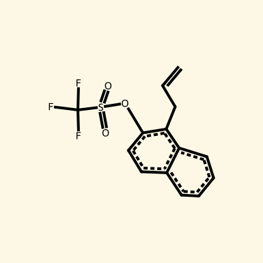 C=CCc1c(OS(=O)(=O)C(F)(F)F)ccc2ccccc12